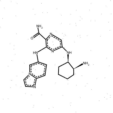 NC(=O)c1ncc(N[C@@H]2CCCC[C@@H]2N)nc1Nc1ccc2nccn2c1